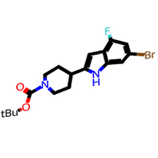 CC(C)(C)OC(=O)N1CCC(c2cc3c(F)cc(Br)cc3[nH]2)CC1